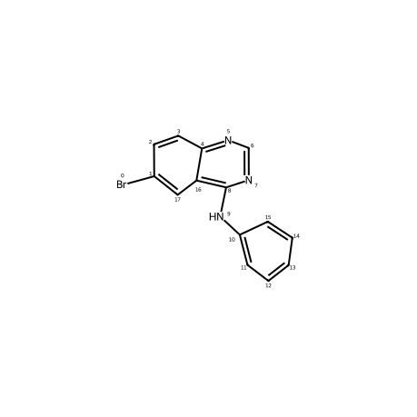 Brc1ccc2ncnc(Nc3ccccc3)c2c1